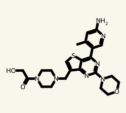 Cc1cc(N)ncc1-c1nc(N2CCOCC2)nc2c(CN3CCN(C(=O)CO)CC3)csc12